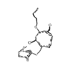 C=CCOc1c(Cl)ccc(Oc2ncc[nH]2)c1Cl